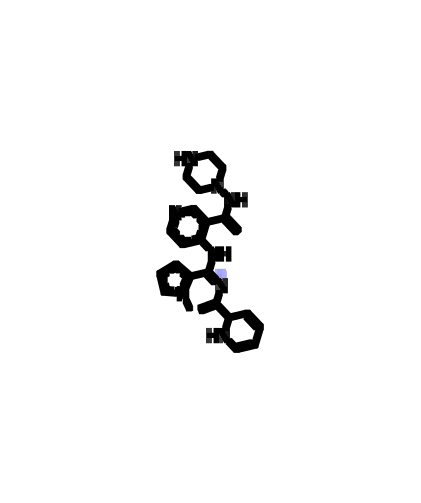 C=C(NN1CCNCC1)c1cnccc1N/C(=N/C(=C)C1C=CC=CN1)c1cccn1C